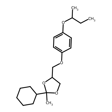 CCC(C)Oc1ccc(OCC2COC(C)(C3CCCCC3)O2)cc1